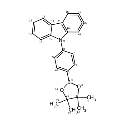 CC1(C)OB(c2ccc(-n3c4c(c5ccccc53)C=C=C=C4)cc2)OC1(C)C